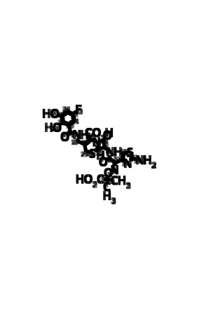 CC(C)(O/N=C(\C(=O)NC1C(=O)N2C(C(=O)O)=C(CNC(=O)c3cc(F)cc(O)c3O)CS[C@@H]12)c1csc(N)n1)C(=O)O